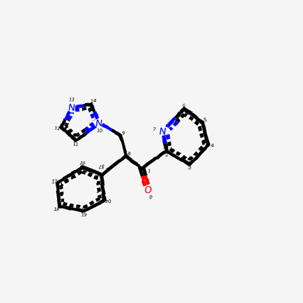 O=C(c1ccccn1)C(Cn1ccnc1)c1ccccc1